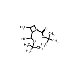 CC1CN(C(=O)OC(C)(C)C)C1C(O)OC(C)(C)C